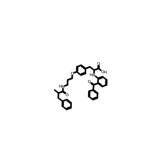 CC(Cc1ccccc1)C(=O)NCCCOc1ccc(CC(Nc2ccccc2C(=O)c2ccccc2)C(=O)O)cc1